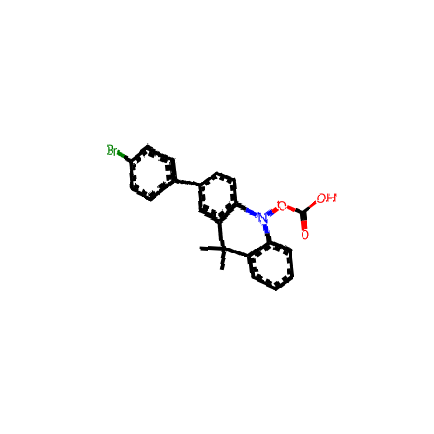 CC1(C)c2ccccc2N(OC(=O)O)c2ccc(-c3ccc(Br)cc3)cc21